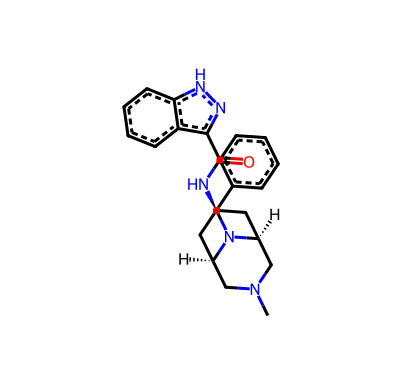 CN1C[C@H]2C[C@@H](NC(=O)c3n[nH]c4ccccc34)C[C@@H](C1)N2Cc1ccccc1